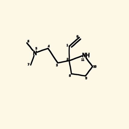 C=CC1(CCN(C)C)CCCN1